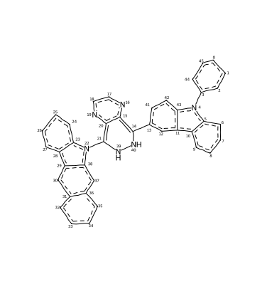 c1ccc(-n2c3ccccc3c3cc(C4=c5nccnc5=C(n5c6ccccc6c6cc7ccccc7cc65)NN4)ccc32)cc1